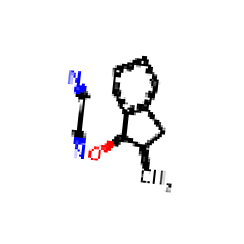 C=C1Cc2ccccc2C1=O.N#CC#N